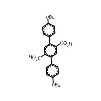 CCCCc1ccc(-c2cc(C(=O)O)c(-c3ccc(CCCC)cc3)cc2C(=O)O)cc1